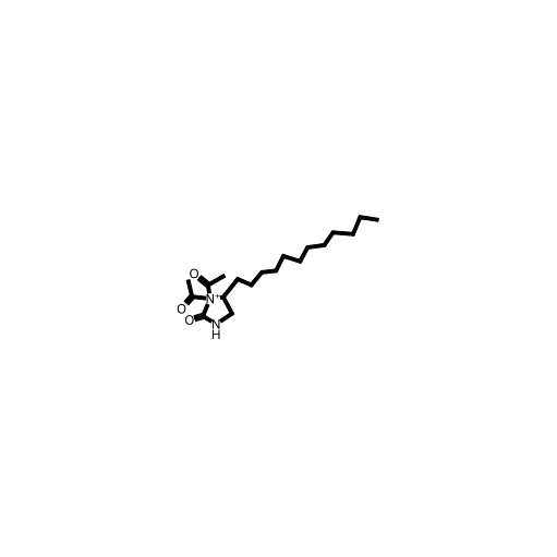 CCCCCCCCCCCCC1CNC(=O)[N+]1(C(C)=O)C(C)=O